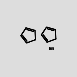 C1=CCC=C1.C1=CCC=C1.[Sm]